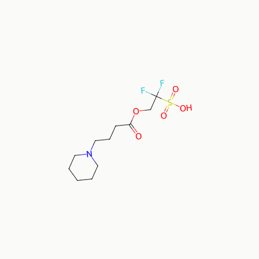 O=C(CCCN1CCCCC1)OCC(F)(F)S(=O)(=O)O